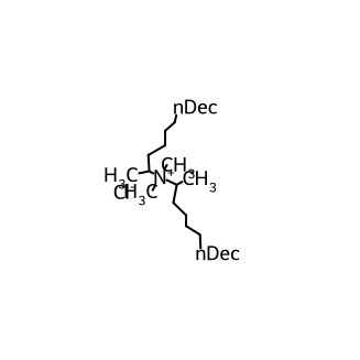 CCCCCCCCCCCCCCC(C)[N+](C)(C)C(C)CCCCCCCCCCCCCC.[Cl-]